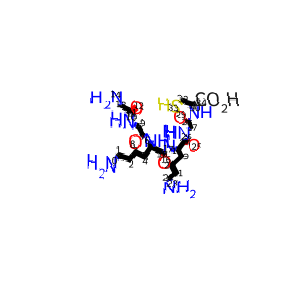 NCCCCC(NC(=O)CNC(=O)CN)C(=O)NC(CCCCN)C(=O)NCC(=O)NC(CS)C(=O)O